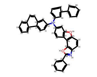 c1ccc(-c2cccc(N(c3ccc4c(ccc5ccccc54)c3)c3ccc4c(c3)oc3ccc5nc(-c6ccccc6)oc5c34)c2)cc1